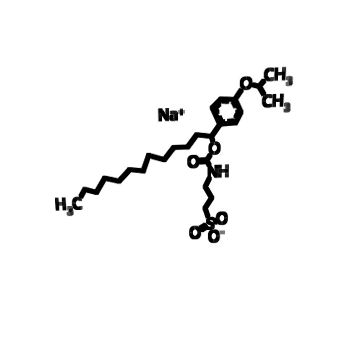 CCCCCCCCCCCCC(OC(=O)NCCCS(=O)(=O)[O-])c1ccc(OC(C)C)cc1.[Na+]